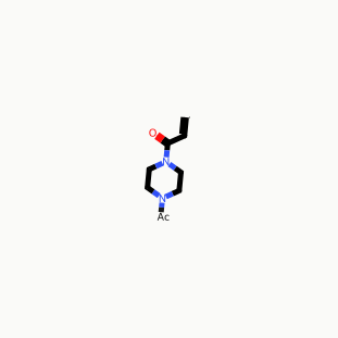 [CH]=CC(=O)N1CCN(C(C)=O)CC1